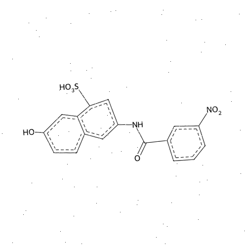 O=C(Nc1cc(S(=O)(=O)O)c2cc(O)ccc2c1)c1cccc([N+](=O)[O-])c1